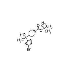 CC(C)(C)OC(=O)N1CCC(C(C)(O)c2ncc(Br)s2)CC1